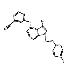 N#Cc1ccnc(Oc2cccc3c2c(Br)cn3CCc2ccc(F)cc2)c1